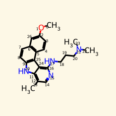 COc1ccc2c(ccc3[nH]c4c(C)cnc(NCCCN(C)C)c4c32)c1